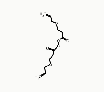 C=CCOCCC(=O)OOC(=O)CCOCC=C